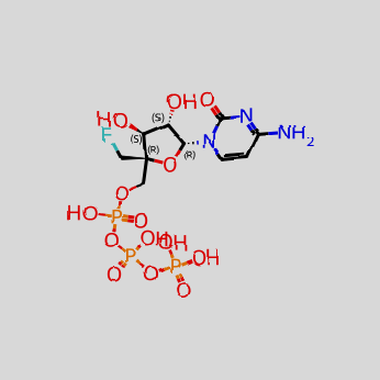 Nc1ccn([C@@H]2O[C@](CF)(COP(=O)(O)OP(=O)(O)OP(=O)(O)O)[C@@H](O)[C@@H]2O)c(=O)n1